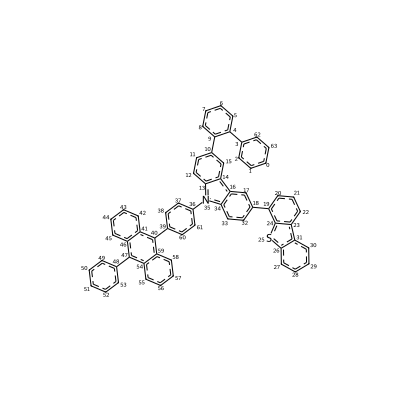 c1ccc(-c2ccccc2-c2ccc3c(c2)c2cc(-c4cccc5c4sc4ccccc45)ccc2n3-c2ccc(-c3c4ccccc4c(-c4ccccc4)c4ccccc34)cc2)cc1